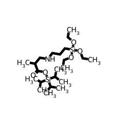 CCO[Si](CCCNCC(C)C(=O)O[Si](C(C)C)(C(C)C)C(C)C)(OCC)OCC